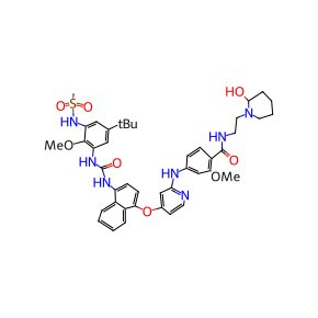 COc1cc(Nc2cc(Oc3ccc(NC(=O)Nc4cc(C(C)(C)C)cc(NS(C)(=O)=O)c4OC)c4ccccc34)ccn2)ccc1C(=O)NCCN1CCCCC1O